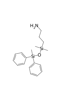 C[Si](C)(CCCN)O[Si](C)(c1ccccc1)c1ccccc1